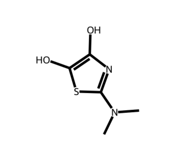 CN(C)c1nc(O)c(O)s1